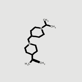 C=C(C)C1CCN(CC2CCN(C(C)C)CC2)CC1